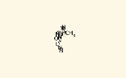 CC(C)n1cnnc1-c1cccc(N2CCN(c3cccc(-n4ccnc4)c3)C2=O)n1